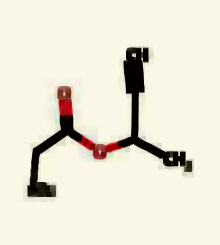 C#CC(C)OC(=O)CCCCC